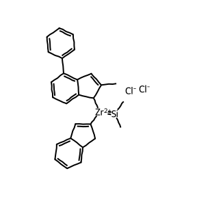 CC1=Cc2c(-c3ccccc3)cccc2[CH]1[Zr+2]([C]1=Cc2ccccc2C1)=[Si](C)C.[Cl-].[Cl-]